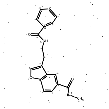 CNC(=O)c1ccc2occ(CCNC(=O)c3ccccc3)c2c1